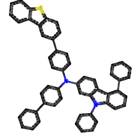 c1ccc(-c2ccc(N(c3ccc(-c4ccc5sc6ccccc6c5c4)cc3)c3ccc4c5c(-c6ccccc6)cccc5n(-c5ccccc5)c4c3)cc2)cc1